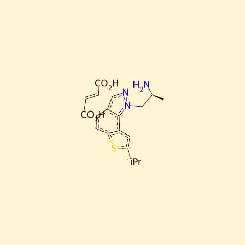 CC(C)c1cc2c(ccc3cnn(C[C@H](C)N)c32)s1.O=C(O)C=CC(=O)O